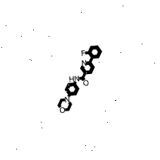 O=C(Nc1ccc(N2CCOCC2)cc1)c1ccc(-c2ccccc2F)nc1